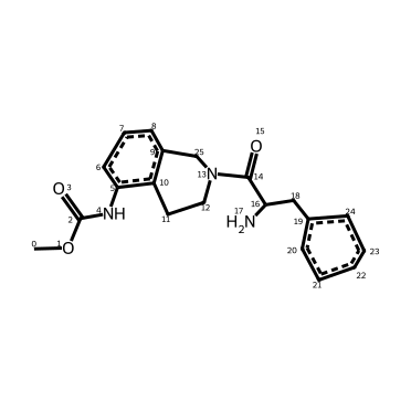 COC(=O)Nc1cccc2c1CCN(C(=O)C(N)Cc1ccccc1)C2